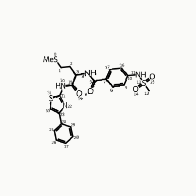 CSCCC(NC(=O)c1ccc(NS(C)(=O)=O)cc1)C(=O)Nc1nc(-c2ccccc2)cs1